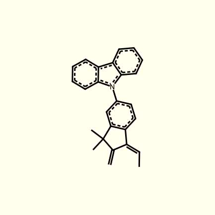 C=C1/C(=C\C)c2ccc(-n3c4ccccc4c4ccccc43)cc2C1(C)C